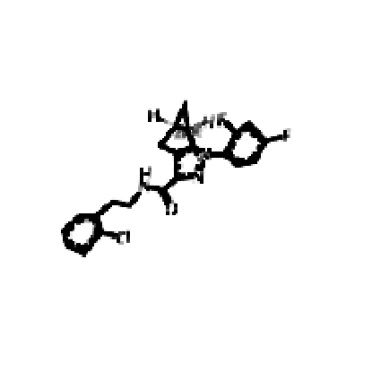 O=C(NCCc1ccccc1Cl)c1nn(-c2ccc(F)cc2F)c2c1C[C@H]1C[C@@H]21